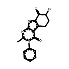 Cc1nc2sc3c(c2c(=O)n1-c1ccccc1)CCC(Br)C3=O